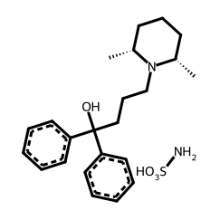 C[C@@H]1CCC[C@H](C)N1CCCC(O)(c1ccccc1)c1ccccc1.NS(=O)(=O)O